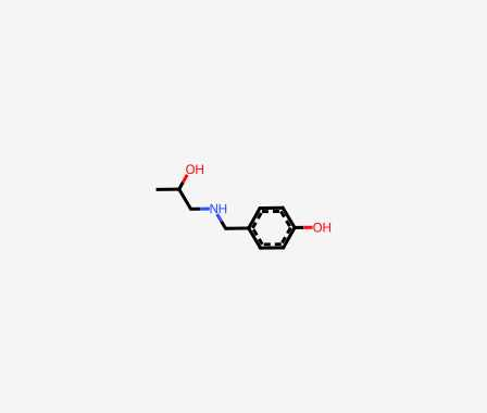 CC(O)CNCc1ccc(O)cc1